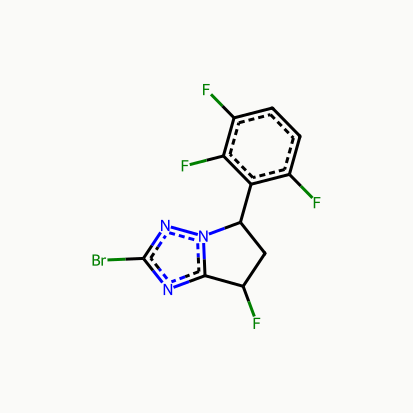 Fc1ccc(F)c(C2CC(F)c3nc(Br)nn32)c1F